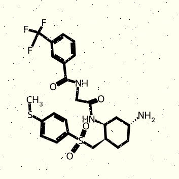 CSc1ccc(S(=O)(=O)C[C@@H]2CC[C@@H](N)C[C@@H]2NC(=O)CNC(=O)c2cccc(C(F)(F)F)c2)cc1